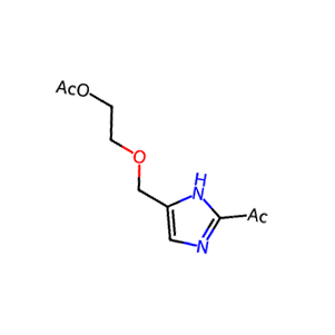 CC(=O)OCCOCc1cnc(C(C)=O)[nH]1